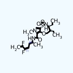 C=C(F)/C(F)=C\C=C(/C)NC(=O)c1c2c(cn1C)S(=O)(=O)N[C@@H](CC)[C@@H](CC)CO2